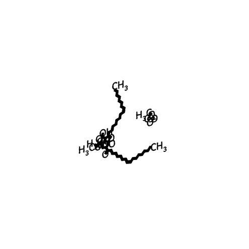 CCCCCCCC/C=C\CCCCCCCC(=O)C(C[N+](C)(CC(C(=O)O)C(=O)CCCCCCC/C=C\CCCCCCCC)OCC)C(=O)O.COS(=O)(=O)[O-]